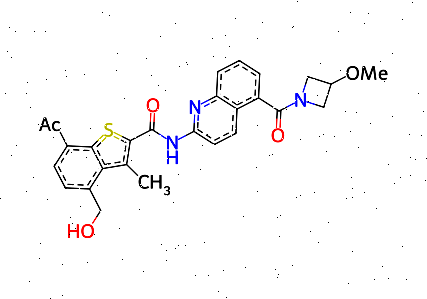 COC1CN(C(=O)c2cccc3nc(NC(=O)c4sc5c(C(C)=O)ccc(CO)c5c4C)ccc23)C1